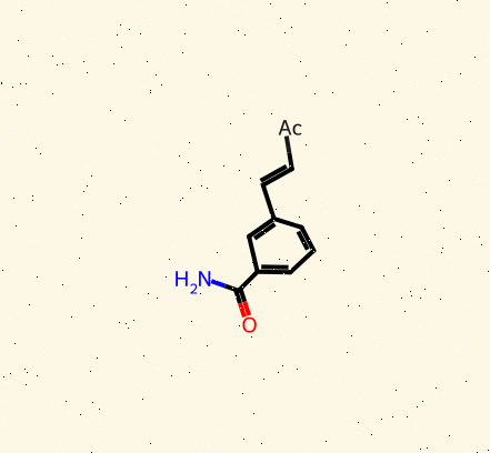 CC(=O)/C=C/c1cccc(C(N)=O)c1